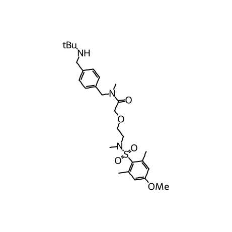 COc1cc(C)c(S(=O)(=O)N(C)CCOCC(=O)N(C)Cc2ccc(CNC(C)(C)C)cc2)c(C)c1